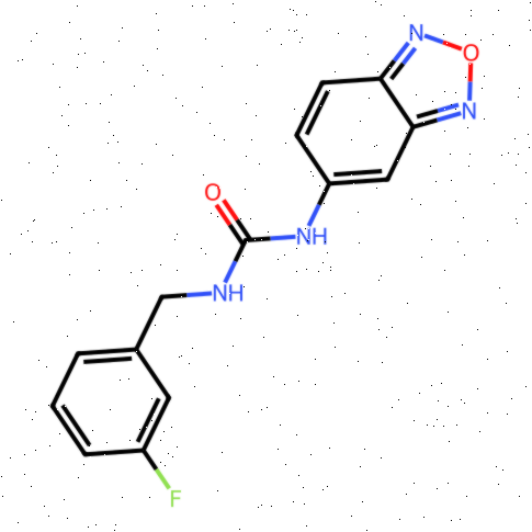 O=C(NCc1cccc(F)c1)Nc1ccc2nonc2c1